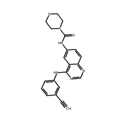 C#Cc1cccc(Nc2ncnc3ccc(NC(=O)N4CCOCC4)cc23)c1